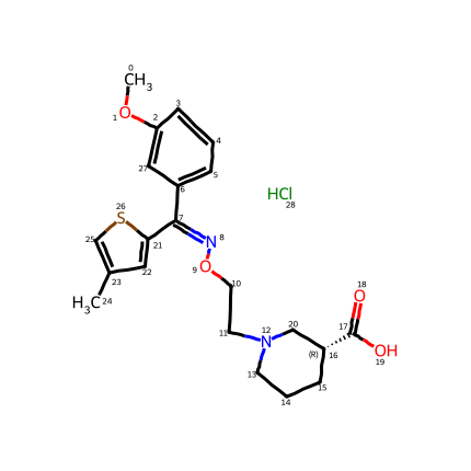 COc1cccc(C(=NOCCN2CCC[C@@H](C(=O)O)C2)c2cc(C)cs2)c1.Cl